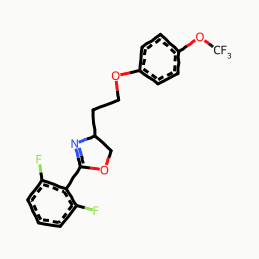 Fc1cccc(F)c1C1=NC(CCOc2ccc(OC(F)(F)F)cc2)CO1